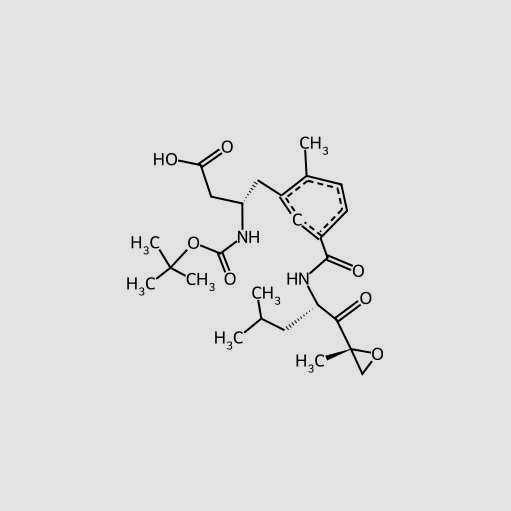 Cc1ccc(C(=O)N[C@@H](CC(C)C)C(=O)[C@@]2(C)CO2)cc1C[C@@H](CC(=O)O)NC(=O)OC(C)(C)C